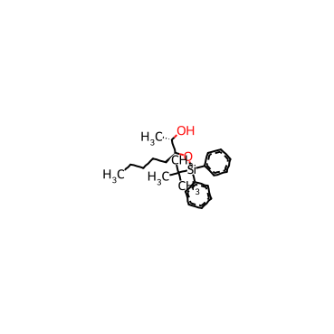 CCCCC[C@H](O[Si](c1ccccc1)(c1ccccc1)C(C)(C)C)[C@H](C)O